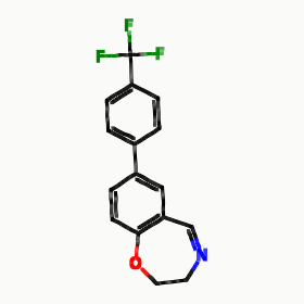 FC(F)(F)c1ccc(-c2ccc3c(c2)C=NCCO3)cc1